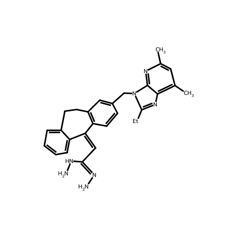 CCc1nc2c(C)cc(C)nc2n1Cc1ccc2c(c1)CCc1ccccc1/C2=C\C(=N\N)NN